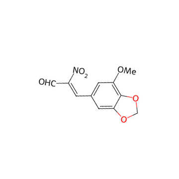 COc1cc(/C=C(/C=O)[N+](=O)[O-])cc2c1OCO2